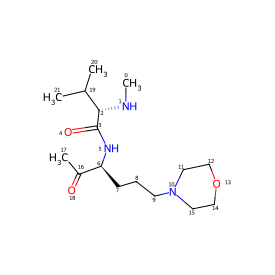 CN[C@H](C(=O)N[C@@H](CCCN1CCOCC1)C(C)=O)C(C)C